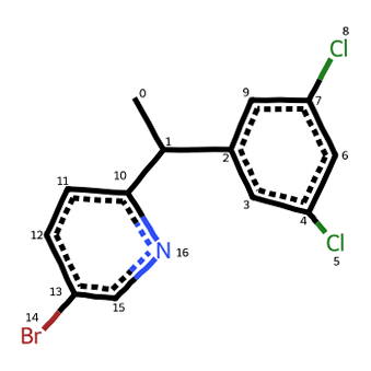 CC(c1cc(Cl)cc(Cl)c1)c1ccc(Br)cn1